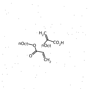 C=C(CCCCCCCC)C(=O)O.C=CC(=O)OCCCCCCCC